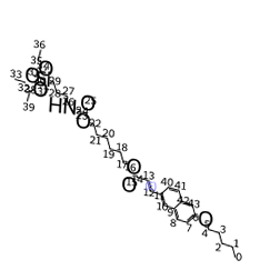 CCCCCOc1ccc2cc(/C=C/C(=O)OCCCCCCOC(=O)NCCC[Si](OCC)(OCC)OCC)ccc2c1